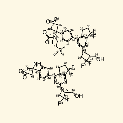 C[Si](C)(C)CCN(C(=O)O)C1(c2ccc(-c3nc(N4CC(F)(F)C4CO)nc4c3CCC4(F)F)cc2)CS(=O)(=O)C1.NC1(c2ccc(-c3nc(N4CC(F)(F)C4CO)nc4c3CCC4(F)F)cc2)CS(=O)(=O)C1